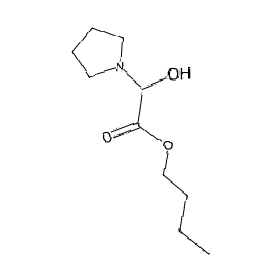 CCCCOC(=O)C(O)N1CCCC1